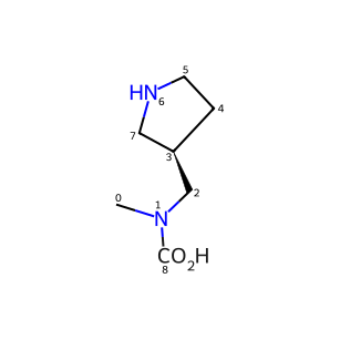 CN(C[C@@H]1CCNC1)C(=O)O